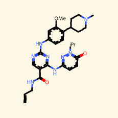 C=CCNC(=O)c1cnc(Nc2ccc(C3CCN(C)CC3)c(OC)c2)nc1Nc1ccc(=O)n(C(C)C)n1